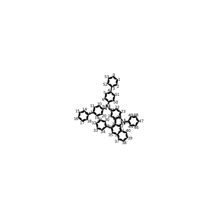 c1ccc(-c2ccc(N(c3ccc(-c4ccccc4)cc3)c3ccc4c(c3)c3c(-c5ccccc5)cc5ccccc5c3n4-c3ccccc3)cc2)cc1